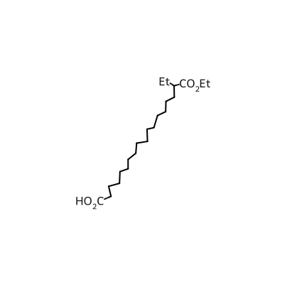 CCOC(=O)C(CC)CCCCCCCCCCCCCCCC(=O)O